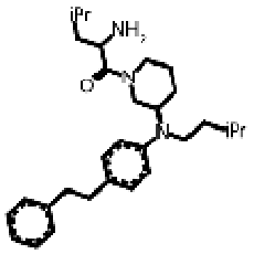 CC(C)CCN(c1ccc(CCc2ccccc2)cc1)C1CCCN(C(=O)C(N)CC(C)C)C1